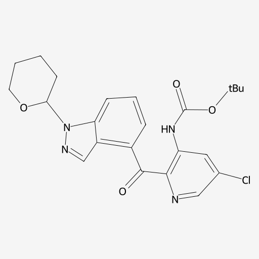 CC(C)(C)OC(=O)Nc1cc(Cl)cnc1C(=O)c1cccc2c1cnn2C1CCCCO1